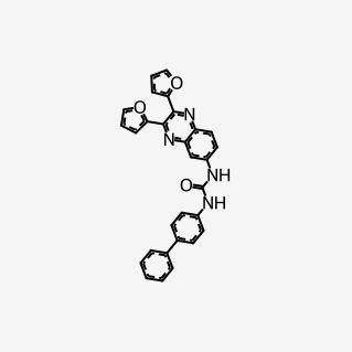 O=C(Nc1ccc(-c2ccccc2)cc1)Nc1ccc2nc(-c3ccco3)c(-c3ccco3)nc2c1